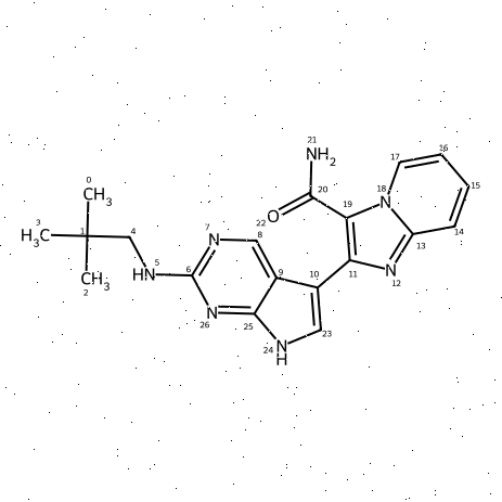 CC(C)(C)CNc1ncc2c(-c3nc4ccccn4c3C(N)=O)c[nH]c2n1